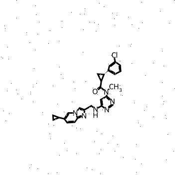 CN(C(=O)C1C[C@@H]1c1cccc(Cl)c1)c1cc(NCc2cn3cc(C4CC4)ccc3n2)ncn1